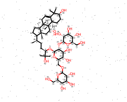 C[C@H](CC[C@@H](O[C@@H]1O[C@H](COC2O[C@H](CO)[C@@H](O)[C@H](O)[C@H]2O)[C@@H](O)[C@H](O)[C@H]1O[C@@H]1O[C@H](CO)[C@@H](O)[C@H](O)[C@H]1O)C(C)(C)O)C1CC[C@@]2(C)[C@@H]3CC=C4[C@@H](CC[C@H](O)C4(C)C)[C@]3(C)[C@H](O)C[C@]12C